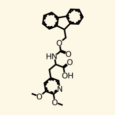 COc1cc(CC(NC(=O)OCC2c3ccccc3-c3ccccc32)C(=O)O)cnc1OC